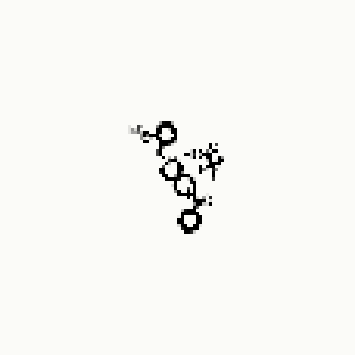 CCOc1ccccc1CN1CCC2(CC1)CCN(C(=O)c1ccccc1)CC2.O=C(O)C(F)(F)F